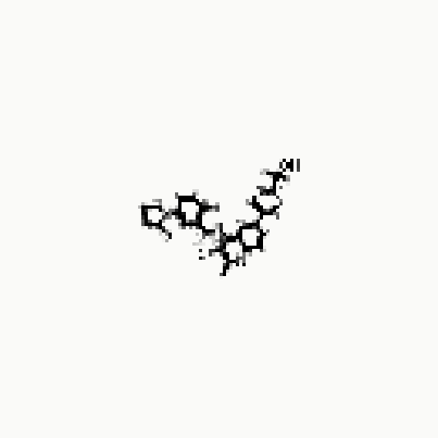 Cc1nc2ccc(-c3cnc(C(C)(C)O)nc3)cc2c(N[C@H](C)c2cc(N3CCCC3=O)ccc2F)c1Cl